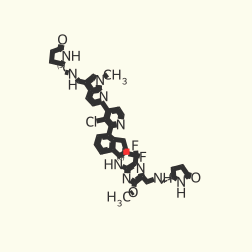 COc1nc(N[C@H]2CCc3c(-c4nccc(-c5ccc6c(CNC[C@@H]7CCC(=O)N7)cn(C)c6n5)c4Cl)cccc32)c(C(F)(F)F)nc1CNC[C@@H]1CCC(=O)N1